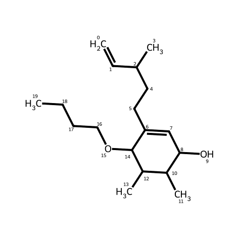 C=CC(C)CCC1=CC(O)C(C)C(C)C1OCCCC